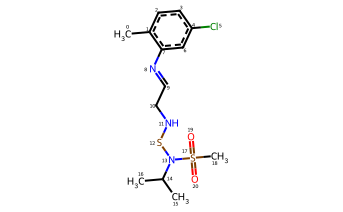 Cc1ccc(Cl)cc1N=CCNSN(C(C)C)S(C)(=O)=O